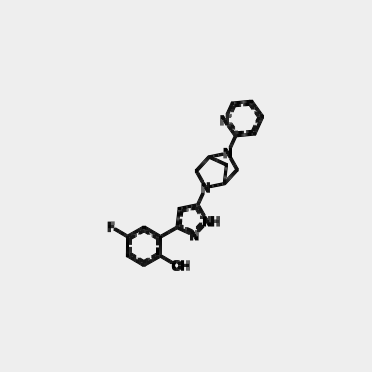 Oc1ccc(F)cc1-c1cc(N2CC3CC2CN3c2ccccn2)[nH]n1